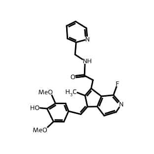 COc1cc(C=C2C(C)=C(CC(=O)NCc3ccccn3)c3c2ccnc3F)cc(OC)c1O